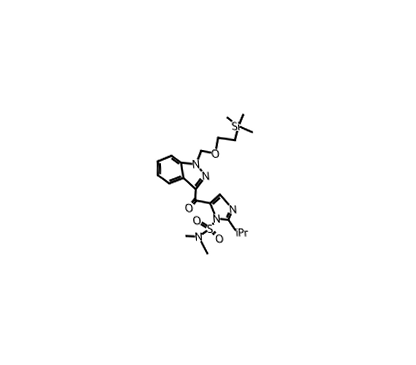 CC(C)c1ncc(C(=O)c2nn(COCC[Si](C)(C)C)c3ccccc23)n1S(=O)(=O)N(C)C